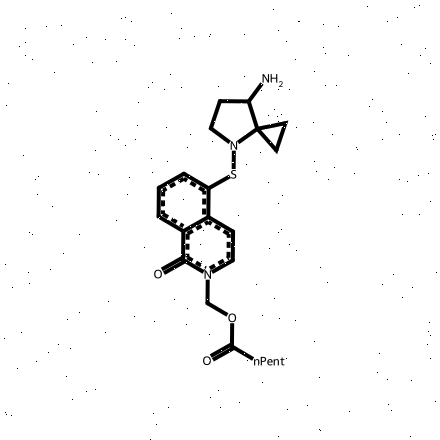 CCCCCC(=O)OCn1ccc2c(SN3CCC(N)C34CC4)cccc2c1=O